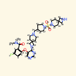 CC(C)N(C(=O)c1cc(F)ccc1Oc1cncnc1N1CC2(CCN(CC3CCN(S(=O)(=O)N4CCC5(CC4)CNC5)CC3)CC2)C1)C(C)C